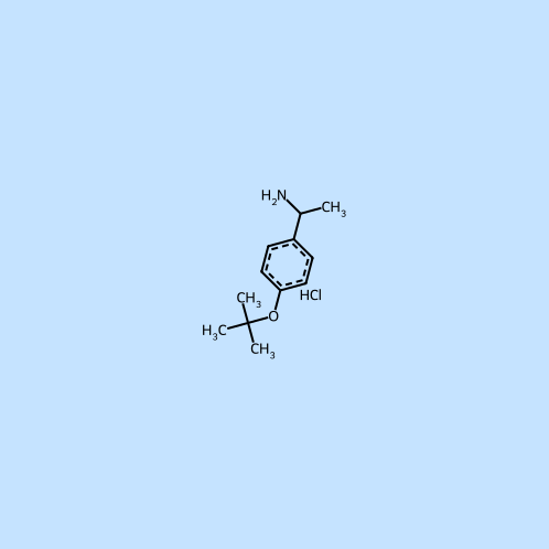 CC(N)c1ccc(OC(C)(C)C)cc1.Cl